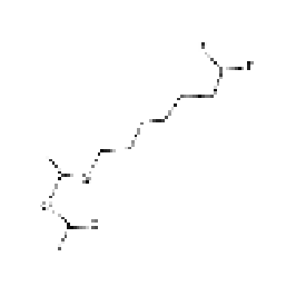 CC(=O)OC(C)SCCCCCCC(F)F